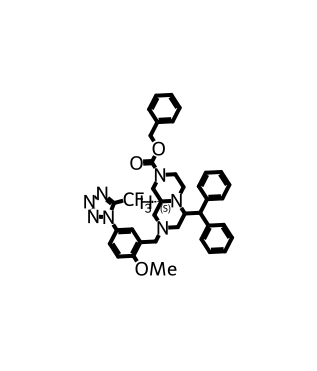 COc1ccc(-n2nnnc2C(F)(F)F)cc1CN1CC(C(c2ccccc2)c2ccccc2)N2CCN(C(=O)OCc3ccccc3)C[C@@H]2C1